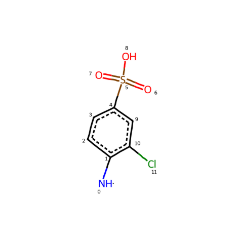 [NH]c1ccc(S(=O)(=O)O)cc1Cl